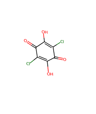 O=C1C(O)=C(Cl)C(=O)C(O)=C1Cl